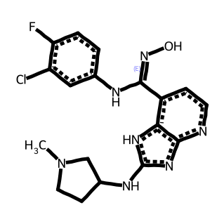 CN1CCC(Nc2nc3nccc(/C(=N\O)Nc4ccc(F)c(Cl)c4)c3[nH]2)C1